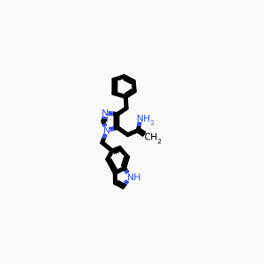 C=C(N)Cc1c(Cc2ccccc2)ncn1Cc1ccc2[nH]ccc2c1